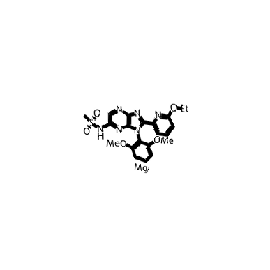 CCOc1cccc(-c2nc3ncc(NS(C)(=O)=O)nc3n2-c2c(OC)cccc2OC)n1.[Mg]